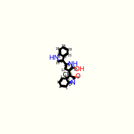 CC12C=CC=CC1=NC(=O)C2c1cc(-c2c[nH]c3ccccc23)[nH]c1O